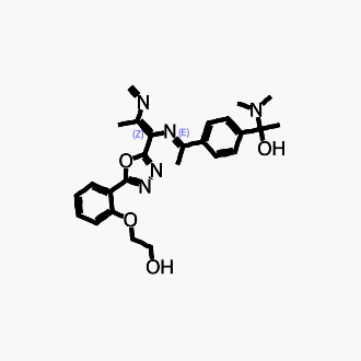 C=N/C(C)=C(\N=C(/C)c1ccc(C(C)(O)N(C)C)cc1)c1nnc(-c2ccccc2OCCO)o1